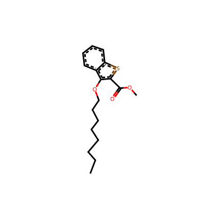 CCCCCCCCOc1c(C(=O)OC)sc2ccccc12